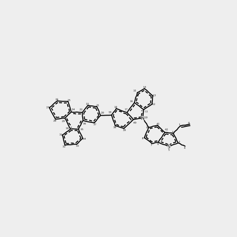 C=Cc1c(C)sc2ccc(-n3c4ccccc4c4cc(-c5ccc6c7ccccc7c7ccccc7c6c5)ccc43)cc12